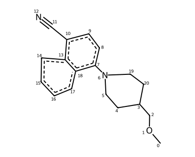 COCC1CCN(c2ccc(C#N)c3ccccc23)CC1